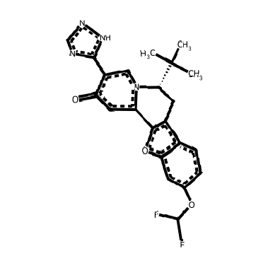 CC(C)(C)[C@@H]1Cc2c(oc3cc(OC(F)F)ccc23)-c2cc(=O)c(-c3ncn[nH]3)cn21